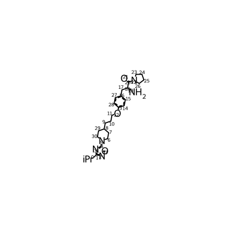 CC(C)c1noc(N2CCC(CCCOc3ccc(CC(N)C(=O)N4CCCC4)cc3)CC2)n1